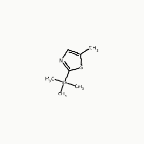 Cc1cn[c]([Sn]([CH3])([CH3])[CH3])s1